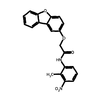 Cc1c(NC(=O)COc2ccc3oc4ccccc4c3c2)cccc1[N+](=O)[O-]